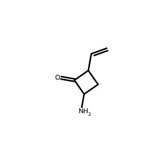 C=CC1CC(N)C1=O